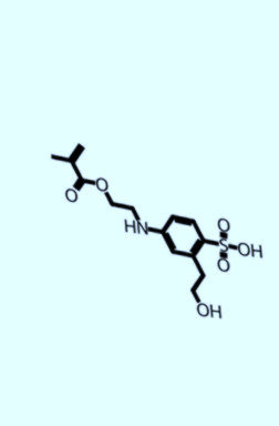 C=C(C)C(=O)OCCNc1ccc(S(=O)(=O)O)c(CCO)c1